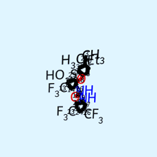 CCC(C)(C)c1ccc(Oc2ccc(C(F)(F)F)cc2NC(=O)Nc2cc(C(F)(F)F)cc(C(F)(F)F)c2)c(S(=O)(=O)O)c1